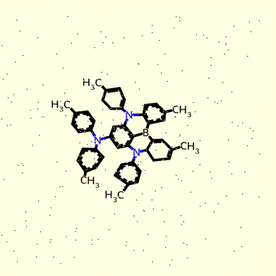 CC1=CCC2C(=C1)B1c3cc(C)ccc3N(C3=CC=C(C)CC3)c3cc(N(c4ccc(C)cc4)c4ccc(C)cc4)cc(c31)N2c1ccc(C)cc1